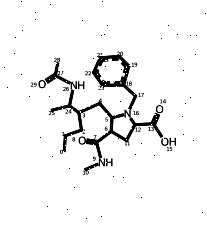 CCCC(CC1C(C(=O)NC)CC(C(=O)O)N1Cc1ccccc1)C(C)NC(C)=O